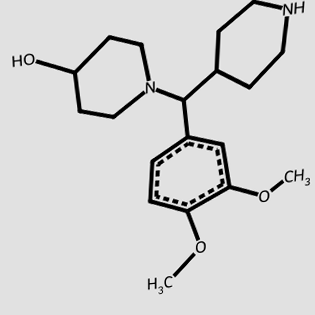 COc1ccc(C(C2CCNCC2)N2CCC(O)CC2)cc1OC